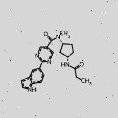 CCC(=O)N[C@H]1CC[C@@H](N(C)C(=O)c2cnc(-c3ccc4[nH]ccc4c3)nc2)C1